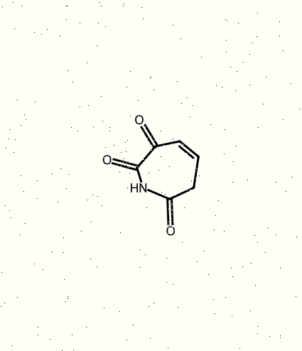 O=C1CC=CC(=O)C(=O)N1